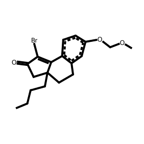 CCCCC12CCc3cc(OCOC)ccc3C1=C(Br)C(=O)C2